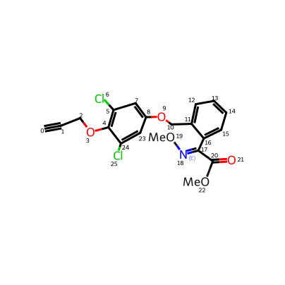 C#CCOc1c(Cl)cc(OCc2ccccc2/C(=N\OC)C(=O)OC)cc1Cl